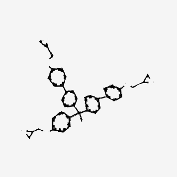 CC(c1ccc(OCC2CO2)cc1)(c1ccc(-c2ccc(OCC3CO3)cc2)cc1)c1ccc(-c2ccc(OCC3CO3)cc2)cc1